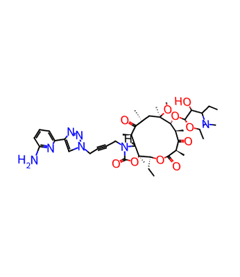 CCO[C@@H](O[C@@H]1[C@@H](C)C(=O)[C@@H](C)C(=O)O[C@H](CC)[C@@]2(C)OC(=O)N(CC#CCn3cc(-c4cccc(N)n4)nn3)[C@@H]2[C@@H](C)C(=O)[C@H](C)C[C@@]1(C)OC)C(O)C(CC)N(C)C